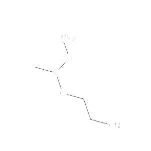 CP(OCCC#N)OC(C)(C)C